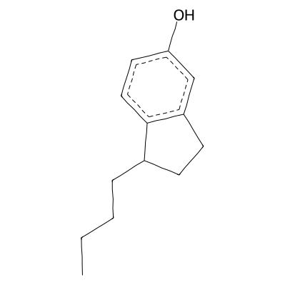 CCCCC1CCc2cc(O)ccc21